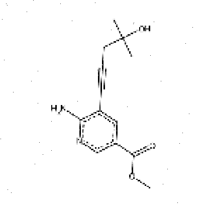 COC(=O)c1cnc(N)c(C#CCC(C)(C)O)c1